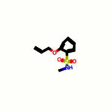 C=CCOc1ccccc1S(=O)(=O)NC